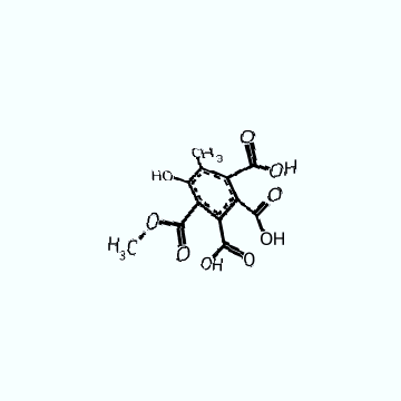 COC(=O)c1c(O)c(C)c(C(=O)O)c(C(=O)O)c1C(=O)O